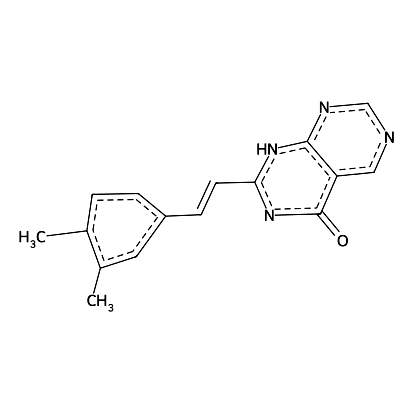 Cc1ccc(/C=C/c2nc(=O)c3cncnc3[nH]2)cc1C